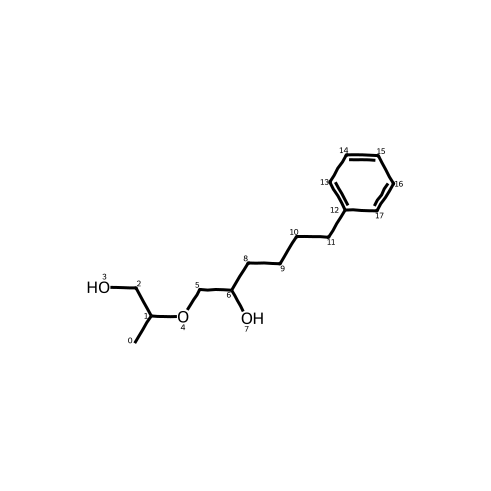 CC(CO)OCC(O)CCCCc1ccccc1